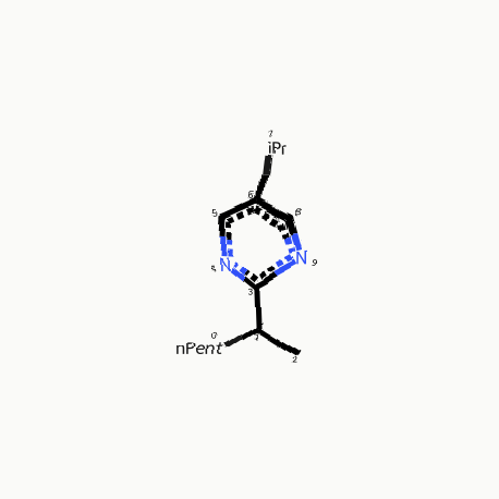 CCCCCC(C)c1ncc(C(C)C)cn1